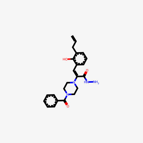 C=CCc1cccc(/C=C(\C(=O)NN)N2CCN(C(=O)c3ccccc3)CC2)c1O